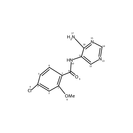 COc1cc(Cl)ccc1C(=O)Nc1cncnc1N